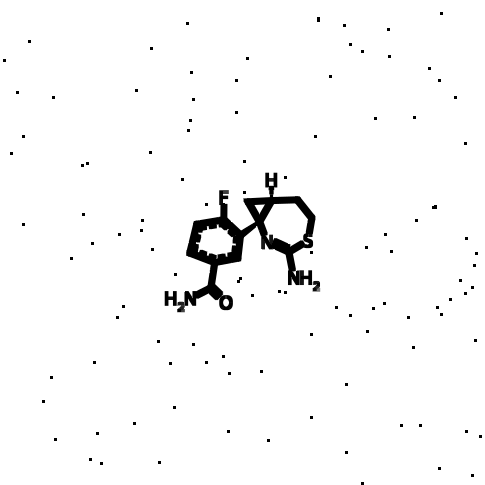 NC(=O)c1ccc(F)c([C@@]23C[C@H]2CCSC(N)=N3)c1